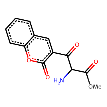 COC(=O)C(N)C(=O)c1cc2ccccc2oc1=O